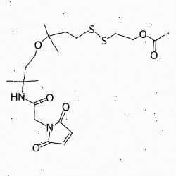 CC(=O)OCCSSCCC(C)(C)OCCC(C)(C)NC(=O)CN1C(=O)C=CC1=O